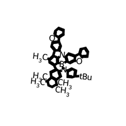 Cc1cc2c3c4c1c1cc5oc6ccccc6c5cc1n4-c1cc4c(cc1B3N(c1ccc(C(C)(C)C)cc1)c1cc3c(cc1-2)C(C)(C)CCC3(C)C)oc1ccccc14